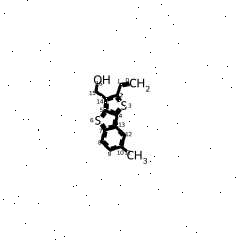 C=Cc1sc2c(sc3ccc(C)cc32)c1CO